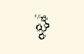 FC(F)(F)c1nc(-c2ccc(CN(c3ccccn3)c3cnccn3)s2)no1